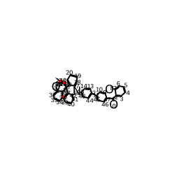 O=c1c2ccccc2oc2cc(-c3ccc(N4c5ccccc5C5(c6ccccc6Oc6ccccc65)c5ccccc54)cc3)ccc12